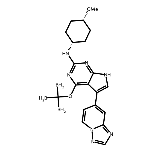 BC(B)(B)Oc1nc(N[C@H]2CC[C@@H](OC)CC2)nc2[nH]cc(-c3ccn4ncnc4c3)c12